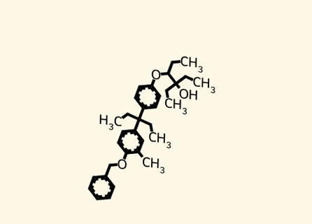 CCC(Oc1ccc(C(CC)(CC)c2ccc(OCc3ccccc3)c(C)c2)cc1)C(O)(CC)CC